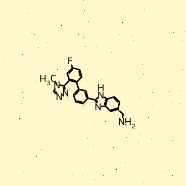 Cn1cnnc1-c1cc(F)ccc1-c1cccc(-c2nc3cc(CN)ccc3[nH]2)c1